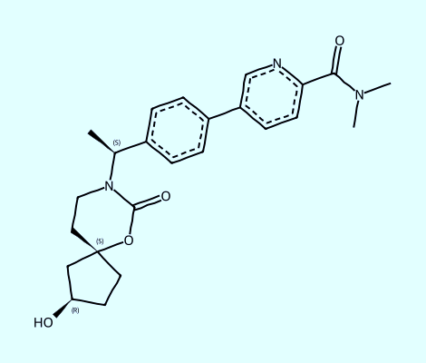 C[C@@H](c1ccc(-c2ccc(C(=O)N(C)C)nc2)cc1)N1CC[C@]2(CC[C@@H](O)C2)OC1=O